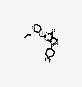 CCC[C@@H]1OCCC[C@H]1Cc1nc2c(cnn2C2CCC(F)(F)CC2)c(=O)[nH]1